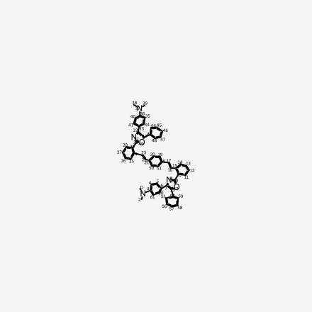 CN(C)c1ccc(-c2nc(-c3ccccc3C=Cc3ccc(C=Cc4ccccc4-c4nc(-c5ccc(N(C)C)cc5)c(-c5ccccc5)o4)cc3)oc2-c2ccccc2)cc1